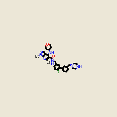 CCc1nc2c(cnn2CC)c(NC2CCOCC2)c1C(=O)NCc1ccc(F)c(-c2cccc(CN3CCNCC3)c2)c1